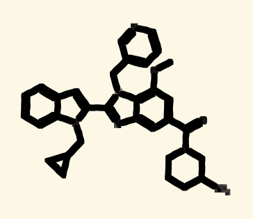 COc1cc(C(=O)N2CCCC(N)C2)cc2nc(-c3cc4ccccc4n3CC3CC3)n(Cc3cccnc3)c12